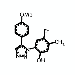 CCc1cc(-n2nncc2-c2ccc(OC)cc2)c(O)cc1C